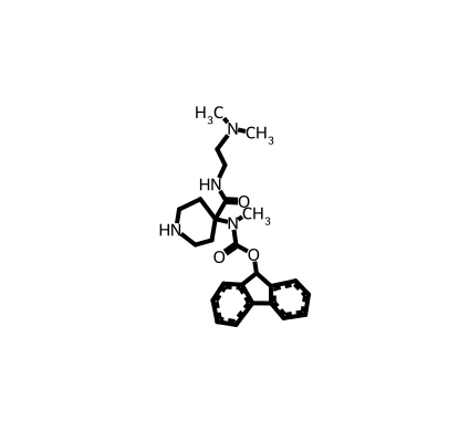 CN(C)CCNC(=O)C1(N(C)C(=O)OC2c3ccccc3-c3ccccc32)CCNCC1